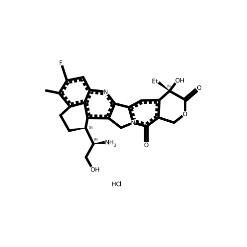 CC[C@@]1(O)C(=O)OCc2c1cc1n(c2=O)Cc2c-1nc1cc(F)c(C)c3c1c2[C@@H]([C@@H](N)CO)CC3.Cl